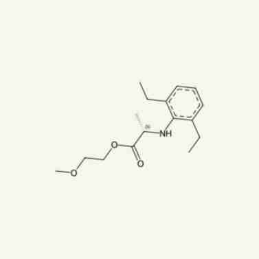 CCc1cccc(CC)c1N[C@@H](C)C(=O)OCCOC